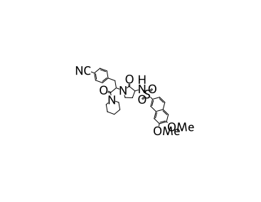 COc1cc2ccc(S(=O)(=O)NC3CCN(C(Cc4ccc(C#N)cc4)C(=O)N4CCCCC4)C3=O)cc2cc1OC